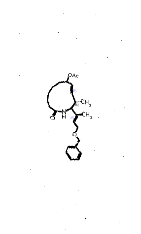 CC(=O)OC1/C=C/[C@H](C)C(/C(C)=C/COCc2ccccc2)NC(=O)CCCCC1